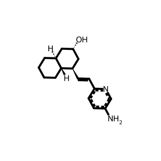 Nc1ccc(/C=C/[C@@H]2C[C@@H](O)C[C@@H]3CCCC[C@H]32)nc1